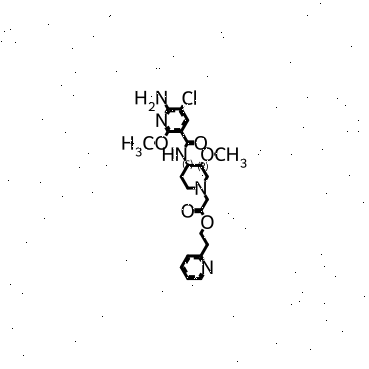 COc1nc(N)c(Cl)cc1C(=O)N[C@H]1CCN(CC(=O)OCCc2ccccn2)C[C@H]1OC